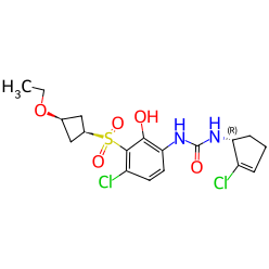 CCO[C@H]1C[C@@H](S(=O)(=O)c2c(Cl)ccc(NC(=O)N[C@@H]3CCC=C3Cl)c2O)C1